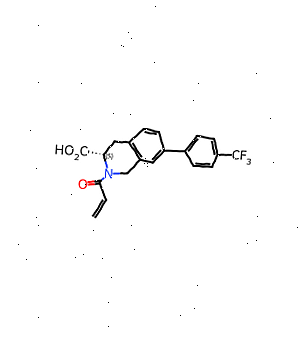 C=CC(=O)N1Cc2cc(-c3ccc(C(F)(F)F)cc3)ccc2C[C@H]1C(=O)O